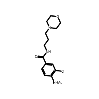 [CH2]C(=O)Nc1ccc(C(=O)NCCCN2CCOCC2)cc1Cl